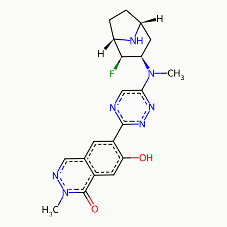 CN(c1cnc(-c2cc3cnn(C)c(=O)c3cc2O)nn1)[C@@H]1C[C@H]2CC[C@H](N2)[C@@H]1F